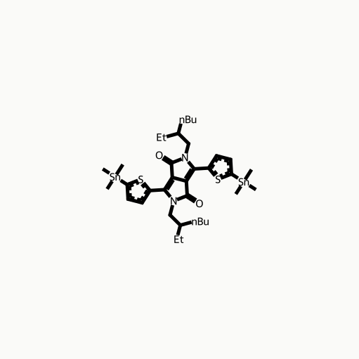 CCCCC(CC)CN1C(=O)C2=C(c3cc[c]([Sn]([CH3])([CH3])[CH3])s3)N(CC(CC)CCCC)C(=O)C2=C1c1cc[c]([Sn]([CH3])([CH3])[CH3])s1